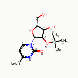 CC(=O)Nc1ccn([C@@H]2O[C@H](CO)C(O)C2O[Si](C)(C)C(C)(C)C)c(=O)n1